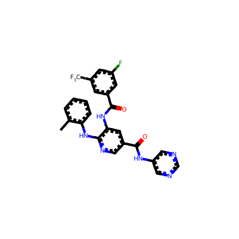 Cc1ccccc1Nc1ncc(C(=O)Nc2cncnc2)cc1NC(=O)c1cc(F)cc(C(F)(F)F)c1